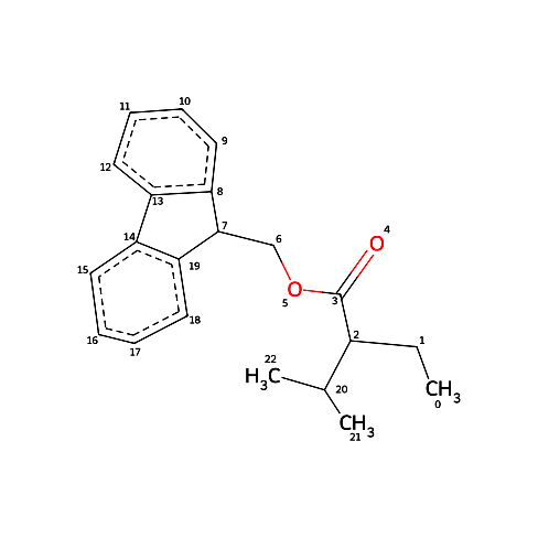 CCC(C(=O)OCC1c2ccccc2-c2ccccc21)C(C)C